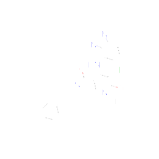 Cn1cc(C(=O)N2CCC(c3ccc(F)cc3)CC2)c(Nc2cccc3nonc23)c(Cl)c1=O